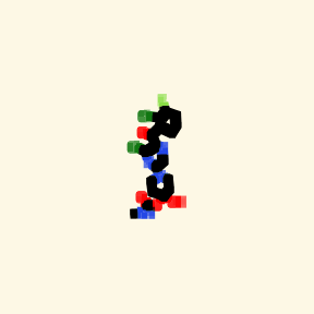 CNC(=O)OC1(O)CCN(c2cnc(C(=O)c3cccc(F)c3Cl)c(Cl)n2)CC1